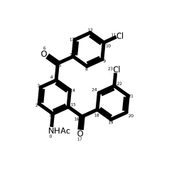 CC(=O)Nc1ccc(C(=O)c2ccc(Cl)cc2)cc1C(=O)c1cccc(Cl)c1